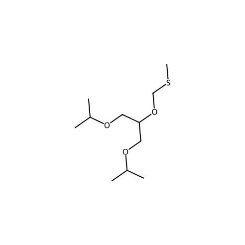 CSCOC(COC(C)C)COC(C)C